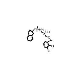 CC(OC[C@H](O)CNC(C)(C)Cc1ccc2ccccc2c1)c1cccc(Cl)c1Cl